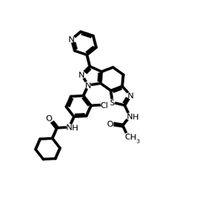 CC(=O)Nc1nc2c(s1)-c1c(c(-c3cccnc3)nn1-c1ccc(NC(=O)C3CCCCC3)cc1Cl)CC2